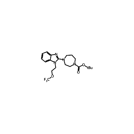 CC(C)(C)OC(=O)N1CCCN(c2nc3ccccc3n2CCOC(F)(F)F)CC1